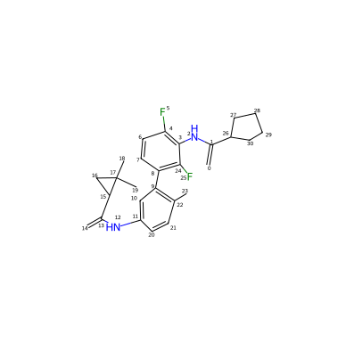 C=C(Nc1c(F)ccc(-c2cc(NC(=C)C3CC3(C)C)ccc2C)c1F)C1CCCC1